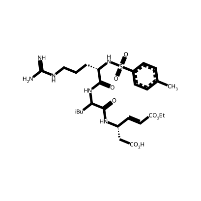 CCOC(=O)/C=C/[C@H](CC(=O)O)NC(=O)C(NC(=O)[C@H](CCCNC(=N)N)NS(=O)(=O)c1ccc(C)cc1)C(C)CC